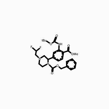 COC(=O)c1ccc(C2CN(CC(F)F)CCN2C(=O)OCc2ccccc2)cc1NC(=O)OC(C)(C)C